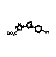 CCOC(=O)c1cn(-c2cnn(-c3ccc(C(C)C)cc3)c2)nn1